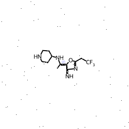 C/C(NC1CCNCC1)=C1/OC(CC(F)(F)F)=NC1=N